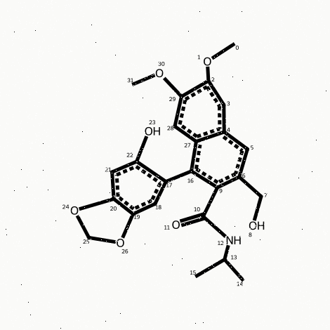 COc1cc2cc(CO)c(C(=O)NC(C)C)c(-c3cc4c(cc3O)OCO4)c2cc1OC